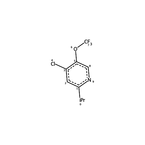 CC(C)c1cc(Cl)c(OC(F)(F)F)cn1